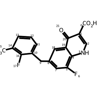 O=C(O)c1c[nH]c2c(F)cc(Cc3cccc(C(F)(F)F)c3F)cc2c1=O